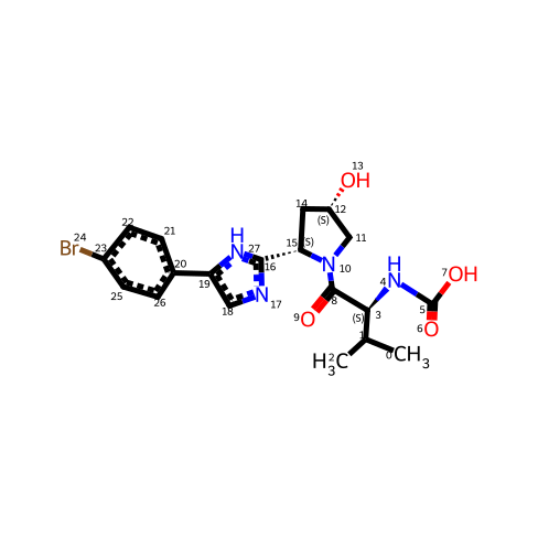 CC(C)[C@H](NC(=O)O)C(=O)N1C[C@@H](O)C[C@H]1c1ncc(-c2ccc(Br)cc2)[nH]1